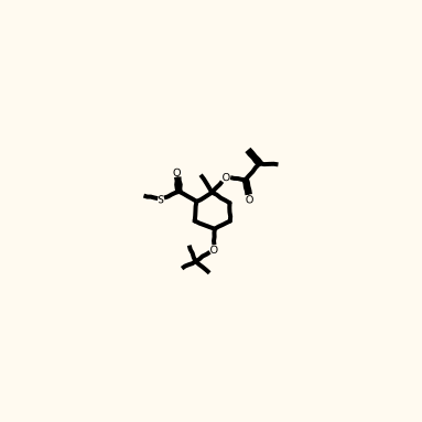 C=C(C)C(=O)OC1(C)CCC(OC(C)(C)C)CC1C(=O)SC